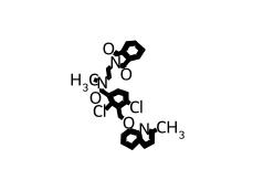 Cc1ccc2cccc(OCc3c(Cl)ccc(C(=O)N(C)CCN4C(=O)c5ccccc5C4=O)c3Cl)c2n1